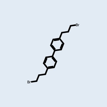 BrCCCc1ccc(-c2ccc(CCCBr)cc2)cc1